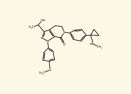 CNC1(c2ccc(N3CCc4c(C(C)O)nn(-c5ccc(OC)cc5)c4C3=O)cc2)CC1